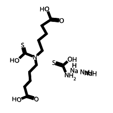 NC(O)=S.O=C(O)CCCCN(CCCCC(=O)O)C(O)=S.[NaH].[NaH].[NaH]